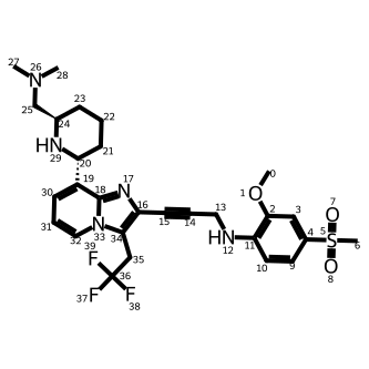 COc1cc(S(C)(=O)=O)ccc1NCC#Cc1nc2c([C@H]3CCC[C@H](CN(C)C)N3)cccn2c1CC(F)(F)F